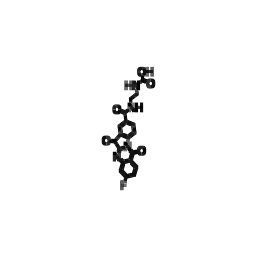 O=C(O)NCCNC(=O)c1ccc2c(c1)C(=O)c1nc3cc(F)ccc3c(=O)n1-2